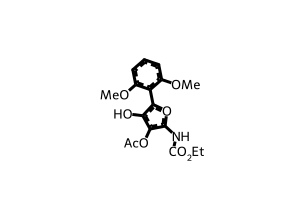 CCOC(=O)Nc1oc(-c2c(OC)cccc2OC)c(O)c1OC(C)=O